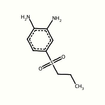 CCCS(=O)(=O)c1ccc(N)c(N)c1